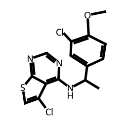 COc1ccc(C(C)Nc2ncnc3scc(Cl)c23)cc1Cl